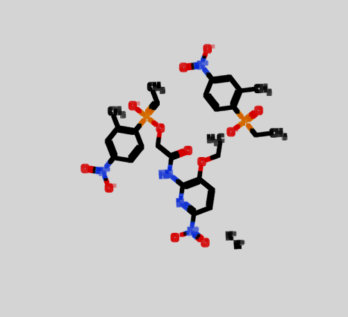 CC=P([O-])(OCC(=O)Nc1nc([N+](=O)[O-])ccc1OCC)c1ccc([N+](=O)[O-])cc1C.CCP(=O)([O-])c1ccc([N+](=O)[O-])cc1C.[K+].[K+]